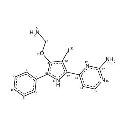 NCOc1c(-c2ccccc2)[nH]c(-c2ccnc(N)n2)c1I